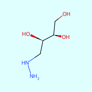 NNC[C@@H](O)[C@H](O)CO